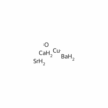 [BaH2].[CaH2].[Cu].[O].[SrH2]